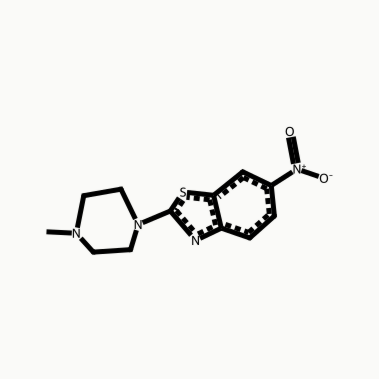 CN1CCN(c2nc3ccc([N+](=O)[O-])cc3s2)CC1